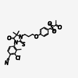 CC(=O)S(=O)(=O)c1ccc(OCCCN2C(=S)N(c3ccc(C#N)c(Cl)c3C)C(=O)C2(C)C)cc1